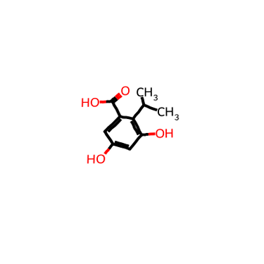 CC(C)c1c(O)cc(O)cc1C(=O)O